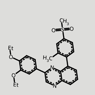 CCOc1ccc(-c2cnc3cccc(-c4ccc(S(C)(=O)=O)cc4C)c3n2)cc1OCC